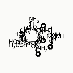 C[C@@H](O)[C@@H]1NC(=O)[C@H](CCCCN)NC(=O)[C@@H](Cc2c[nH]c3ccccc23)NC(=O)[C@H](Cc2ccccc2)NC(=O)[C@@H](NC(=O)[C@H](N)Cc2ccccc2)CSSC[C@@H](C(=O)N[C@H](CO)[C@@H](C)O)NC1=O.N=c1nc(OCc2ccccc2)c2nc[nH]c2[nH]1